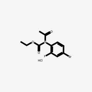 CCOC(=O)N(C(C)=O)c1ccc(Br)cc1F.Cl